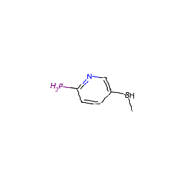 CBc1ccc(P)nc1